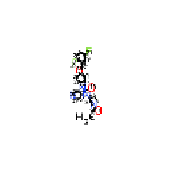 C=CC(=O)N1CCC(n2c(=O)n(-c3ccc(OCc4cc(F)ccc4F)cc3)c3cnccc32)C1